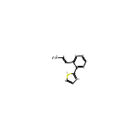 O=[N+]([O-])/C=C/c1ccccc1-c1cccs1